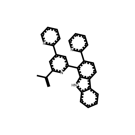 C=C(C)c1cc(-c2ccccn2)cc(-c2c(-c3ccccn3)ccc3c2[nH]c2ccccc23)n1